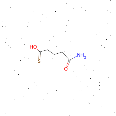 NC(=O)CCCC(O)=S